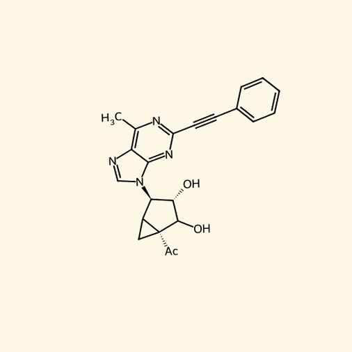 CC(=O)[C@]12CC1[C@@H](n1cnc3c(C)nc(C#Cc4ccccc4)nc31)[C@H](O)C2O